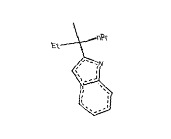 CCCC(C)(CC)c1cn2ccccc2n1